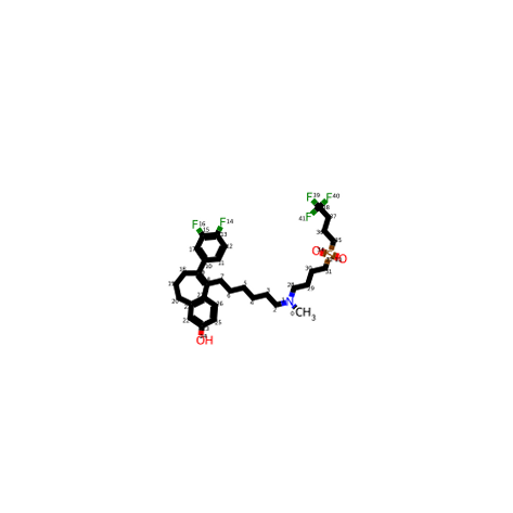 CN(CCCCCCC1=C(c2ccc(F)c(F)c2)CCCc2cc(O)ccc21)CCCCS(=O)(=O)CCCC(F)(F)F